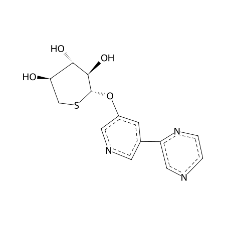 O[C@@H]1[C@@H](O)[C@H](Oc2cncc(-c3cnccn3)c2)SC[C@H]1O